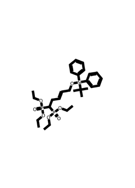 CCOP(=O)(OCC)C(C/C=C/CO[Si](c1ccccc1)(c1ccccc1)C(C)(C)C)P(=O)(OCC)OCC